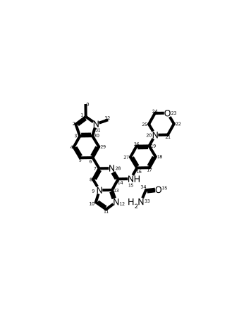 Cc1cc2ccc(-c3cn4ccnc4c(Nc4ccc(N5CCOCC5)cc4)n3)cc2n1C.NC=O